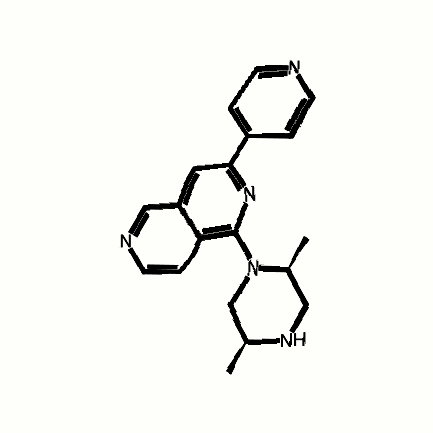 C[C@H]1CN(c2nc(-c3ccncc3)cc3cnccc23)[C@@H](C)CN1